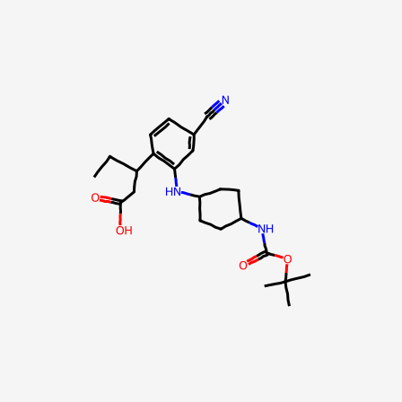 CCC(CC(=O)O)c1ccc(C#N)cc1NC1CCC(NC(=O)OC(C)(C)C)CC1